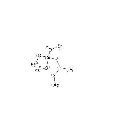 CCO[Si](CC(SC(C)=O)C(C)C)(OCC)OCC